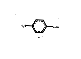 Nc1ccc(C(=O)[O-])cc1.[Ag+]